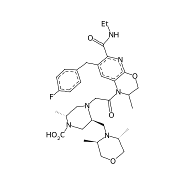 CCNC(=O)c1nc2c(cc1Cc1ccc(F)cc1)N(C(=O)CN1C[C@@H](C)N(C(=O)O)C[C@@H]1CN1[C@H](C)COC[C@H]1C)C(C)CO2